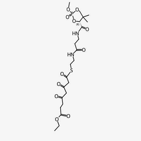 CCOC(=O)CCC(=O)CC(=O)CC(=O)SCCNC(=O)CCNC(=O)[C@@H]1OP(=O)(OC)OCC1(C)C